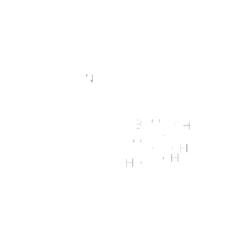 CC1(C)OB(c2ccc3ncc4ccc5ccccc5c4c3c2)OC1(C)C